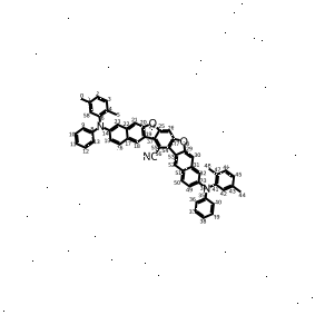 Cc1ccc(C)c(N(c2ccccc2)c2ccc3cc4c(cc3c2)oc2cc3oc5cc6cc(N(c7ccccc7)c7cc(C)ccc7C)ccc6cc5c3c(C#N)c24)c1